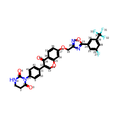 O=C1CCNC(=O)N1c1ccc(-c2coc3cc(OCc4noc(-c5cc(F)cc(C(F)(F)F)c5)n4)ccc3c2=O)cc1